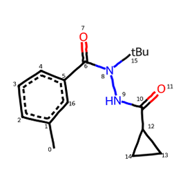 Cc1cccc(C(=O)N(NC(=O)C2CC2)C(C)(C)C)c1